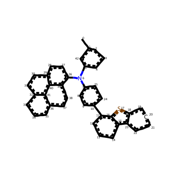 Cc1cccc(N(c2ccc(-c3cccc4c3sc3ccccc34)cc2)c2ccc3ccc4cccc5ccc2c3c45)c1